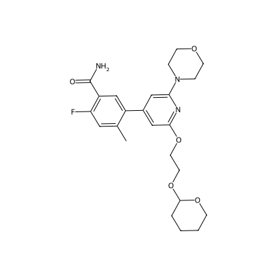 Cc1cc(F)c(C(N)=O)cc1-c1cc(OCCOC2CCCCO2)nc(N2CCOCC2)c1